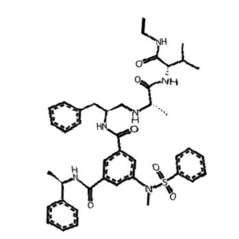 CCNC(=O)[C@@H](NC(=O)[C@H](C)NC[C@H](Cc1ccccc1)NC(=O)c1cc(C(=O)N[C@H](C)c2ccccc2)cc(N(C)S(=O)(=O)c2ccccc2)c1)C(C)C